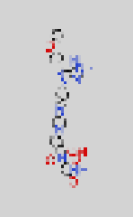 Nc1ncnc2c1c(-c1ccc(Oc3ccccc3)cc1)nn2C1CCC2(CC1)CN(C1CCN(c3ccc4c(c3)C(O)N(C3CCC(=O)NC3=O)C4=O)CC1)C2